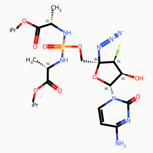 CC(C)OC(=O)[C@H](C)NP(=O)(N[C@@H](C)C(=O)OC(C)C)OC[C@@]1(N=[N+]=[N-])O[C@@H](n2ccc(N)nc2=O)[C@H](O)[C@@H]1F